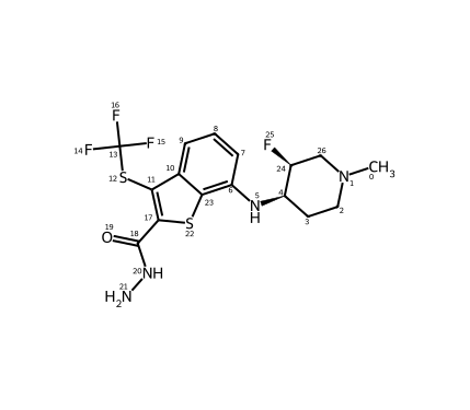 CN1CC[C@@H](Nc2cccc3c(SC(F)(F)F)c(C(=O)NN)sc23)[C@@H](F)C1